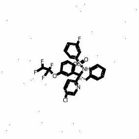 O=S(=O)(N[C@](Cc1ccccc1)(c1cccc(OC(F)(F)C(F)F)c1)c1ccc(Cl)cn1)c1cccc(F)c1